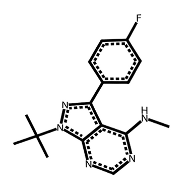 CNc1ncnc2c1c(-c1ccc(F)cc1)nn2C(C)(C)C